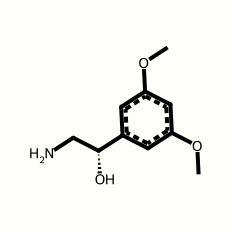 COc1cc(OC)cc([C@H](O)CN)c1